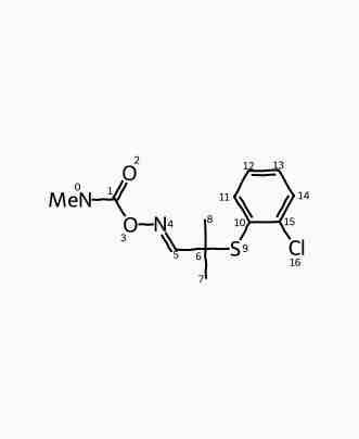 CNC(=O)ON=CC(C)(C)Sc1ccccc1Cl